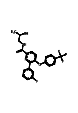 C[C@@H](O)CNC(=O)c1ccc(Oc2ccc(C(F)(F)F)cc2)c(-c2cccc(F)c2)n1